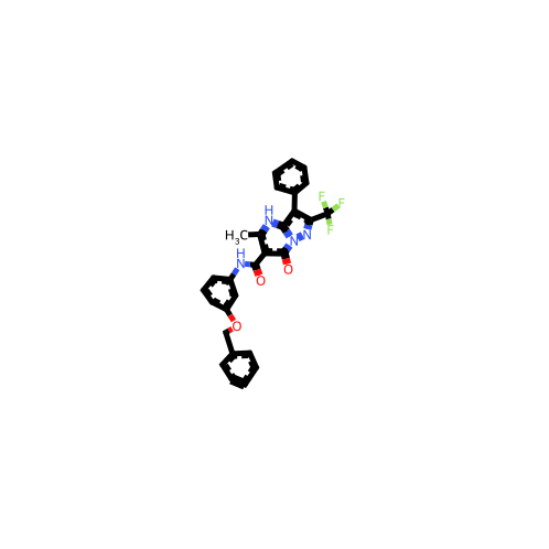 Cc1[nH]c2c(-c3ccccc3)c(C(F)(F)F)nn2c(=O)c1C(=O)Nc1cccc(OCc2cc#ccc2)c1